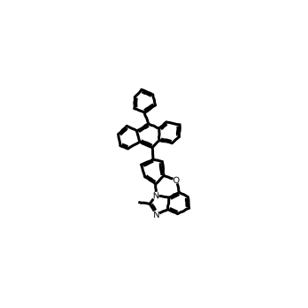 Cc1nc2cccc3c2n1-c1ccc(-c2c4ccccc4c(-c4ccccc4)c4ccccc24)cc1O3